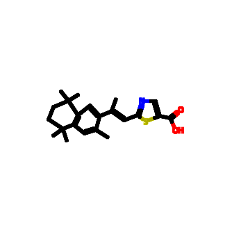 CC(=Cc1ncc(C(=O)O)s1)c1cc2c(cc1C)C(C)(C)CCC2(C)C